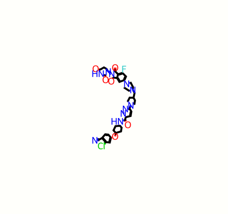 N#Cc1ccc(OC2CCC(NC(=O)c3ccc(N4CCC(CN5CCN(c6cc(F)c7c(c6)C(=O)N(N6CCC(=O)NC6=O)C7=O)CC5)CC4)nn3)CC2)cc1Cl